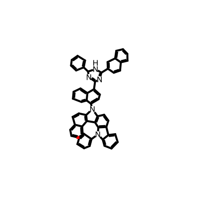 c1ccc(C2N=C(c3ccc(-n4c5ccc6ccccc6c5c5c4ccc4c6ccccc6n(-c6ccccc6)c45)c4ccccc34)N=C(c3ccc4ccccc4c3)N2)cc1